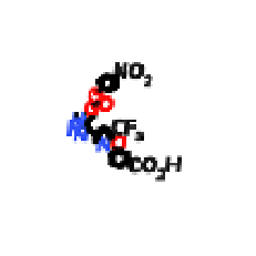 Cn1nnc(-c2cnc(O[C@H]3CCC[C@H](C(=O)O)C3)c(C(F)(F)F)c2)c1COC(=O)Oc1ccc([N+](=O)[O-])cc1